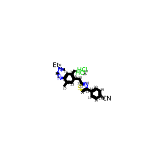 CCN(C)/C=N\c1cc(C)c(Cc2nc(-c3ccc(C#N)cc3)cs2)cc1C.Cl.Cl